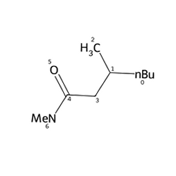 CCCCC(C)CC(=O)NC